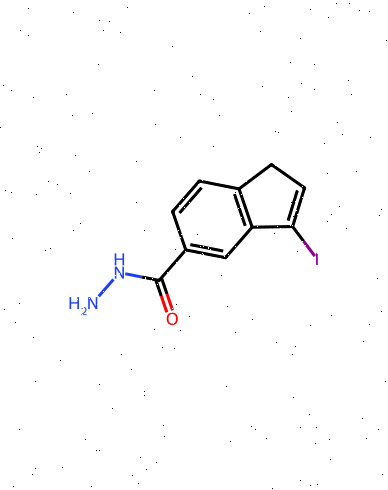 NNC(=O)c1ccc2c(c1)C(I)=CC2